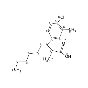 CCCCCCC(c1ccc(Cl)c(C)c1)C(C)C(=O)O